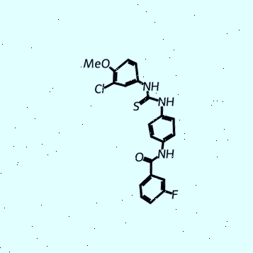 COc1ccc(NC(=S)Nc2ccc(NC(=O)c3cccc(F)c3)cc2)cc1Cl